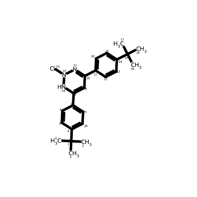 CC(C)(C)c1ccc(C2=CC(c3ccc(C(C)(C)C)cc3)=NN(Cl)N2)cc1